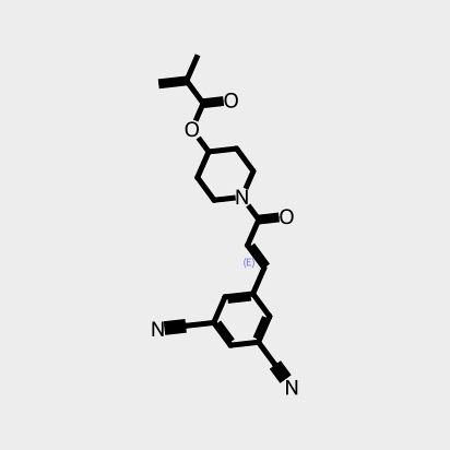 C=C(C)C(=O)OC1CCN(C(=O)/C=C/c2cc(C#N)cc(C#N)c2)CC1